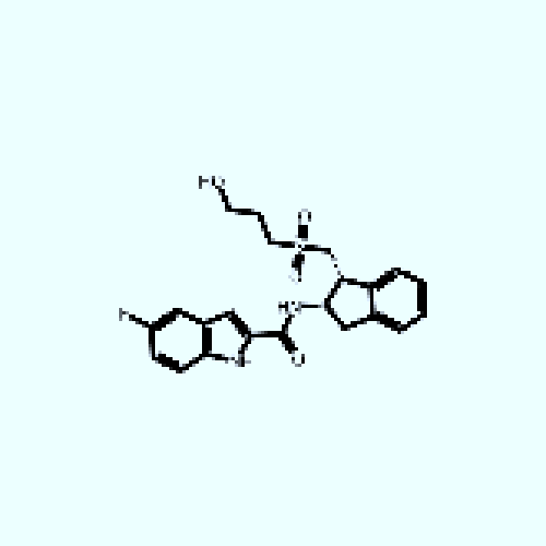 O=C(N[C@@H]1Cc2ccccc2[C@H]1CS(=O)(=O)CCCO)c1cc2cc(F)ccc2[nH]1